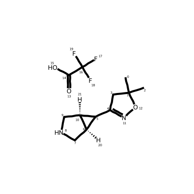 CC1(C)CC(C2[C@H]3CNC[C@@H]23)=NO1.O=C(O)C(F)(F)F